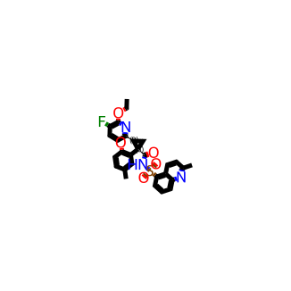 CCOc1nc([C@@H]2C[C@@]2(C(=O)NS(=O)(=O)c2cccc3nc(C)ccc23)c2cc(C)ccc2OC)ccc1F